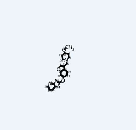 COC1CCN(Cc2coc3cc(Oc4nc5ncccc5s4)ccc23)CC1